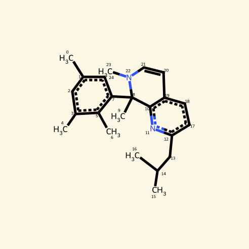 Cc1cc(C)c(C)c(C2(C)c3nc(CC(C)C)ccc3C=CN2C)c1